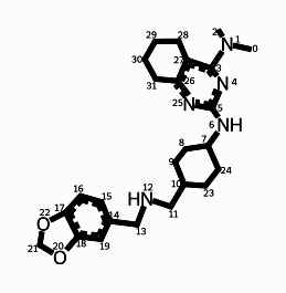 CN(C)c1nc(NC2CCC(CNCc3ccc4c(c3)OCO4)CC2)nc2c1CCCC2